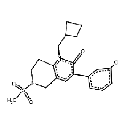 CS(=O)(=O)N1CCc2c(cc(-c3cccc(Cl)c3)c(=O)n2CC2CCC2)C1